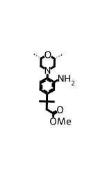 COC(=O)CC(C)(C)c1ccc(N2C[C@@H](C)O[C@@H](C)C2)c(N)c1